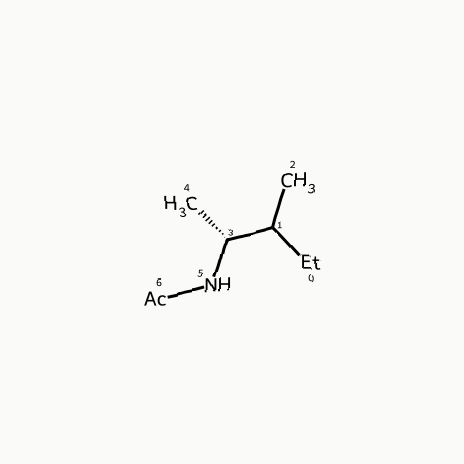 CCC(C)[C@@H](C)NC(C)=O